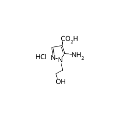 Cl.Nc1c(C(=O)O)cnn1CCO